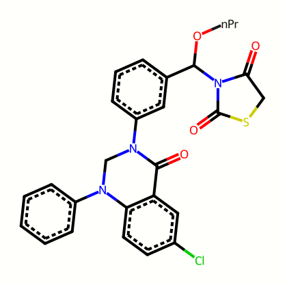 CCCOC(c1cccc(N2CN(c3ccccc3)c3ccc(Cl)cc3C2=O)c1)N1C(=O)CSC1=O